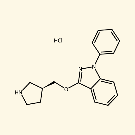 Cl.c1ccc(-n2nc(OC[C@H]3CCNC3)c3ccccc32)cc1